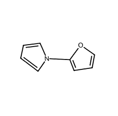 c1coc(-n2cccc2)c1